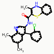 CC1=C(C(=O)Nc2cnc3c(C)cc(C)cc3c2-c2ccccc2Cl)Sc2ccccc2N1